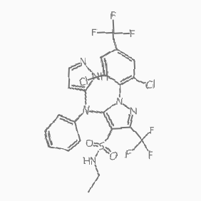 CCNS(=O)(=O)c1c(C(F)(F)F)nn(-c2c(Cl)cc(C(F)(F)F)cc2Cl)c1N(c1ccccc1)c1ccn[nH]1